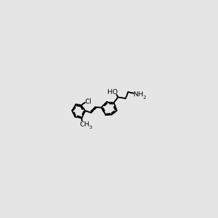 Cc1cccc(Cl)c1C=Cc1cccc(C(O)CCN)c1